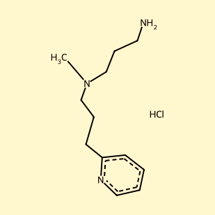 CN(CCCN)CCCc1ccccn1.Cl